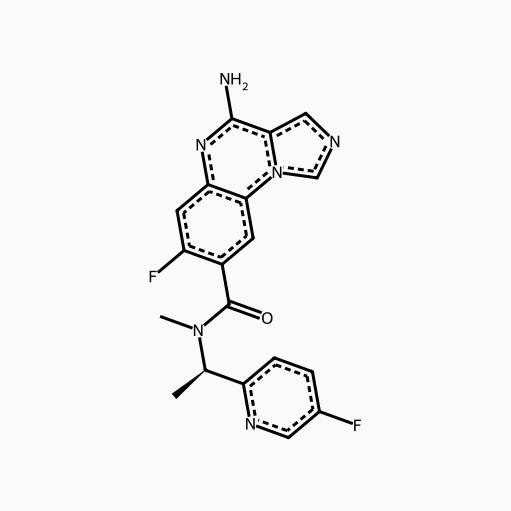 C[C@H](c1ccc(F)cn1)N(C)C(=O)c1cc2c(cc1F)nc(N)c1cncn12